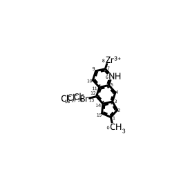 Cc1cc2cc3[nH][c]([Zr+3])ccc3c(Br)c2c1.[Cl-].[Cl-].[Cl-]